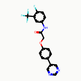 O=C(COc1ccc(-c2cncnc2)cc1)Nc1ccc(F)c(C(F)(F)F)c1